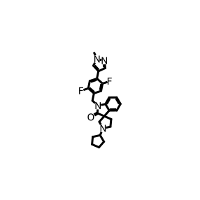 Cn1cc(-c2cc(F)c(CN3C(=O)C4(CCN(C5CCCC5)C4)c4ccccc43)cc2F)cn1